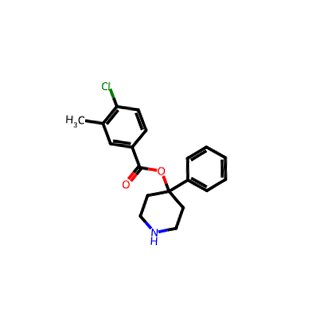 Cc1cc(C(=O)OC2(c3ccccc3)CCNCC2)ccc1Cl